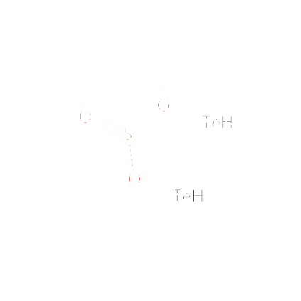 O=S(O[TeH])O[TeH]